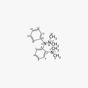 CN(C)c1ccccc1N(c1ccccc1)N(C)C